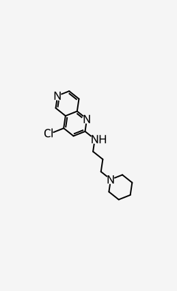 Clc1cc(NCCCN2CCCCC2)nc2ccncc12